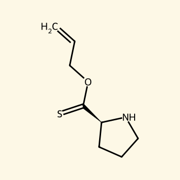 C=CCOC(=S)[C@@H]1CCCN1